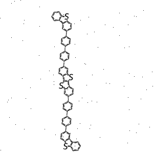 c1ccc2c(c1)sc1ccc(-c3ccc(-c4ccc(-c5ccc6c(c5)sc5c7ccc(-c8ccc(-c9ccc(-c%10ccc%11sc%12ccccc%12c%11c%10)cc9)cc8)cc7sc65)cc4)cc3)cc12